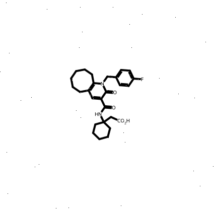 O=C(O)CC1(NC(=O)c2cc3c(n(Cc4ccc(F)cc4)c2=O)CCCCCC3)CCCCC1